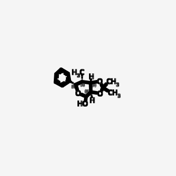 C[C@@H]1[C@H]2OC(C)(C)O[C@H]2C(O)O[C@@H]1c1ccccc1